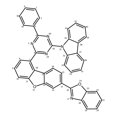 c1ccc(-c2nc(-c3cccc4oc5cc(-c6nc7ccccc7o6)ccc5c34)nc(-n3c4ccccc4c4ccccc43)n2)cc1